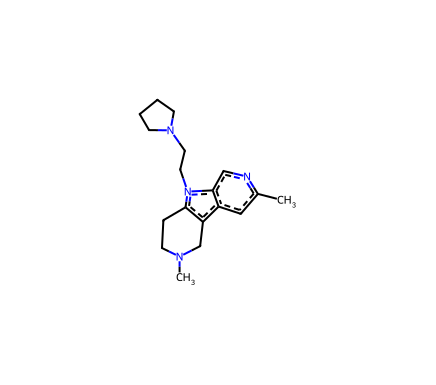 Cc1cc2c3c(n(CCN4CCCC4)c2cn1)CCN(C)C3